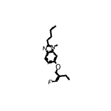 CCCCc1nc2ccc(OC/C(=C\F)CC)cc2n1C